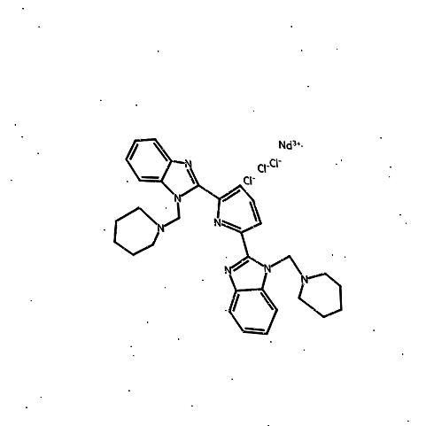 [Cl-].[Cl-].[Cl-].[Nd+3].c1cc(-c2nc3ccccc3n2CN2CCCCC2)nc(-c2nc3ccccc3n2CN2CCCCC2)c1